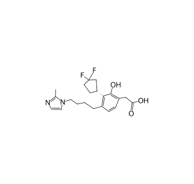 Cc1nccn1CCCCc1ccc(CC(=O)O)c(O)c1[C@@H]1CCC(F)(F)C1